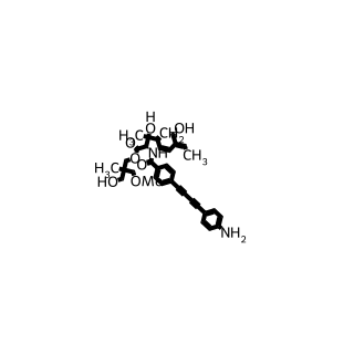 C=C(/C=C\C(=C/C)CO)C(C)(O)[C@H](NC(=O)c1ccc(C#CC#Cc2ccc(N)cc2)cc1)C(=O)OCC(C)(CO)COC